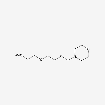 COCCOCCOCN1CCOCC1